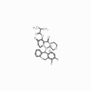 CC(C)C(=O)Oc1c2n(ccc1=O)N([C@@H]1c3ccccc3SCc3c1ccc(F)c3F)[C@@H]1COCCN1C2=O